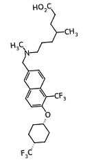 CC(CCCN(C)Cc1ccc2c(C(F)(F)F)c(O[C@H]3CC[C@@H](C(F)(F)F)CC3)ccc2c1)CCC(=O)O